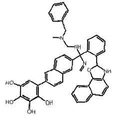 C=NC(NCN(C)Cc1ccccc1)(c1ccc2cc(-c3cc(O)c(O)c(O)c3O)ccc2c1)c1ccccc1C1Nc2ccc3ccccc3c2O1